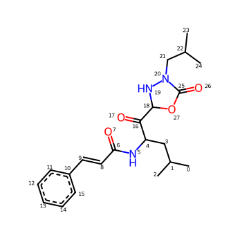 CC(C)CC(NC(=O)/C=C/c1ccccc1)C(=O)C1NN(CC(C)C)C(=O)O1